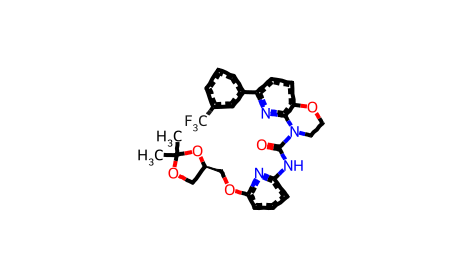 CC1(C)OC[C@H](COc2cccc(NC(=O)N3CCOc4ccc(-c5cccc(C(F)(F)F)c5)nc43)n2)O1